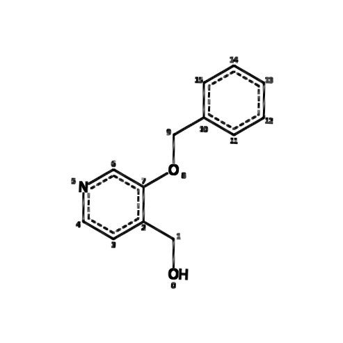 OCc1ccncc1OCc1ccccc1